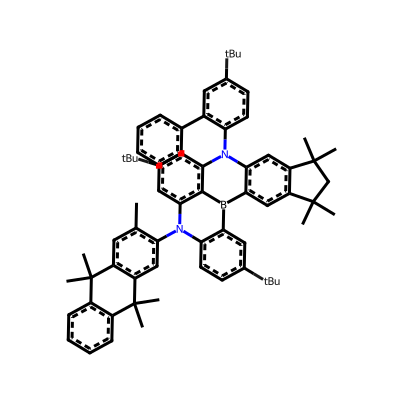 Cc1cc2c(cc1N1c3ccc(C(C)(C)C)cc3B3c4cc5c(cc4N(c4ccc(C(C)(C)C)cc4-c4ccccc4)c4cc(C(C)(C)C)cc1c43)C(C)(C)CC5(C)C)C(C)(C)c1ccccc1C2(C)C